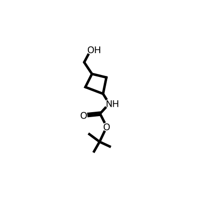 CC(C)(C)OC(=O)NC1CC(CO)C1